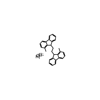 Cc1cccc2c1C(CCC1c3ccccc3-c3cccc(C)c31)c1ccccc1-2.[Cl-].[Cl-].[Hf+2]